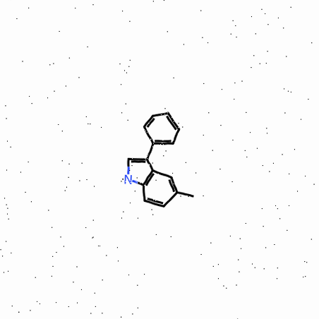 Cc1ccc2c(c1)C(c1ccccc1)=C[N]2